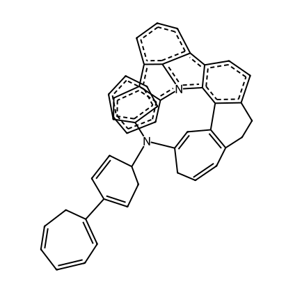 C1=CC=C(C2=CCC(N(C3=CC4=C(C=CC3)CCc3ccc5c6cccc7c8ccccc8n(c5c34)c76)c3ccccc3)C=C2)CC=C1